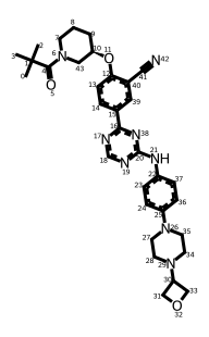 CC(C)(C)C(=O)N1CCC[C@@H](Oc2ccc(-c3ncnc(Nc4ccc(N5CCN(C6COC6)CC5)cc4)n3)cc2C#N)C1